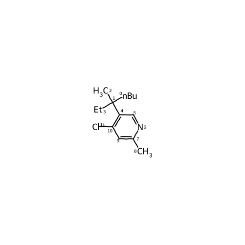 CCCCC(C)(CC)c1cnc(C)cc1Cl